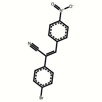 N#CC(=Cc1ccc([N+](=O)[O-])cc1)c1ccc(Br)cc1